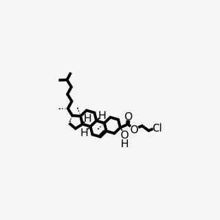 CC(C)CCC[C@@H](C)[C@H]1CC[C@H]2[C@@H]3CC=C4C[C@](O)(C(=O)OCCCl)CC[C@]4(C)[C@H]3CC[C@]12C